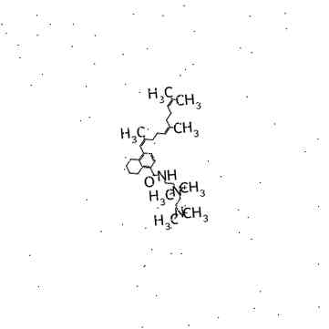 CC(C)=CCCC(C)=CCCC(C)=Cc1ccc(C(=O)NCC[N+](C)(C)CCN(C)C)c2c1CCCC2